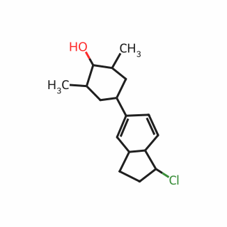 CC1CC(C2=CC3CCC(Cl)C3C=C2)CC(C)C1O